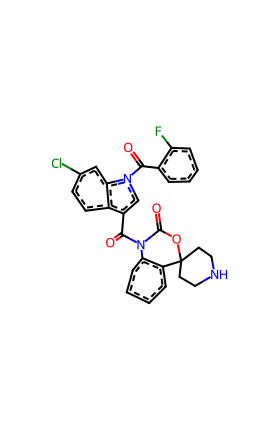 O=C1OC2(CCNCC2)c2ccccc2N1C(=O)c1cn(C(=O)c2ccccc2F)c2cc(Cl)ccc12